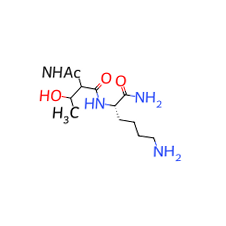 CC(=O)NC(C(=O)N[C@@H](CCCCN)C(N)=O)C(C)O